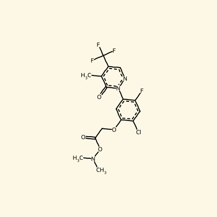 Cc1c(C(F)(F)F)cnn(-c2cc(OCC(=O)ON(C)C)c(Cl)cc2F)c1=O